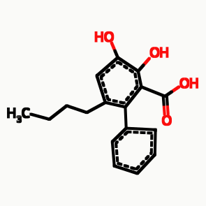 CCCCc1cc(O)c(O)c(C(=O)O)c1-c1ccccc1